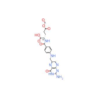 Nc1nc2ncc(CNc3ccc(C(=O)N[C@@H](CCC(=O)OC=O)C(=O)O)cc3)nc2c(=O)[nH]1